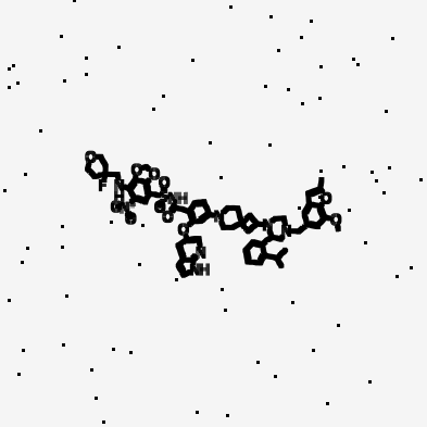 COc1cc(CN2CCN(C3CC4(CCN(c5ccc(C(=O)NS(=O)(=O)c6cc([N+](=O)[O-])c(NCC7(F)CCOCC7)c7c6OCO7)c(Oc6cnc7[nH]ccc7c6)c5)CC4)C3)C(c3ccccc3C(C)C)C2)cc2cc(C)oc12